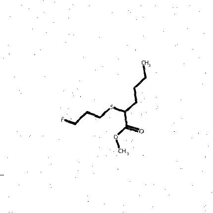 CCCCC(SCCCF)C(=O)OC